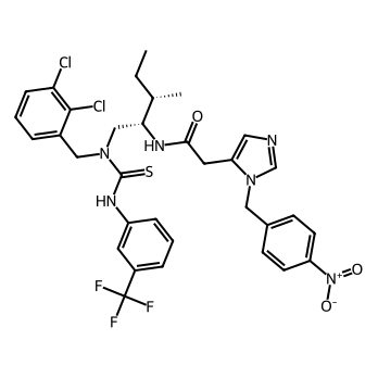 CC[C@H](C)[C@@H](CN(Cc1cccc(Cl)c1Cl)C(=S)Nc1cccc(C(F)(F)F)c1)NC(=O)Cc1cncn1Cc1ccc([N+](=O)[O-])cc1